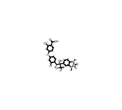 C[C@@H](c1ccc(Oc2ccc(C(=O)O)c(Cl)c2)cc1Cl)[C@](O)(c1ccc2c(c1)N(C)S(=O)(=O)N2C)C(F)(F)F